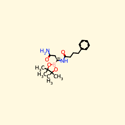 CC1(C)OB([C@@H](CC(N)=O)NC(=O)CCCc2ccccc2)OC1(C)C